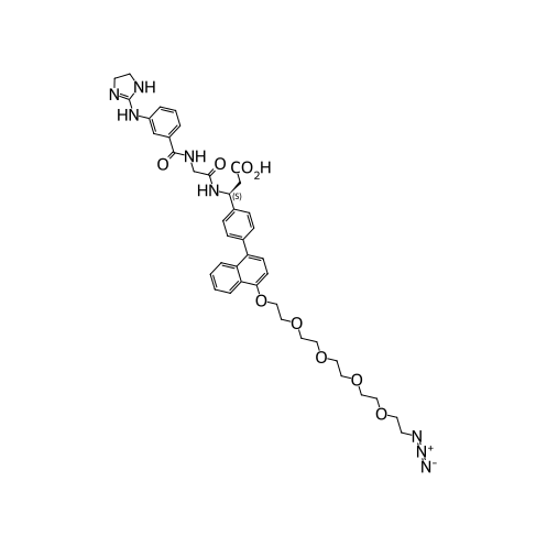 [N-]=[N+]=NCCOCCOCCOCCOCCOc1ccc(-c2ccc([C@H](CC(=O)O)NC(=O)CNC(=O)c3cccc(NC4=NCCN4)c3)cc2)c2ccccc12